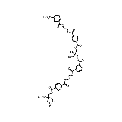 CCCCCC(CO)(CO)COC(=O)c1ccc(C(=O)OCCOC(=O)c2cccc(C(=O)OCC(CC)(CO)COC(=O)c3ccc(C(=O)OCCOC(=O)c4cccc(C(=O)O)c4)cc3)c2)cc1